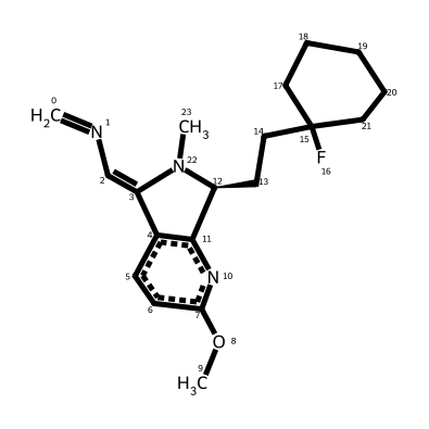 C=N/C=C1/c2ccc(OC)nc2[C@H](CCC2(F)CCCCC2)N1C